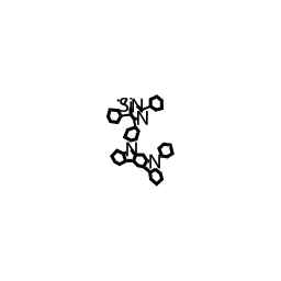 C[Si]1(C)c2ccccc2-c2c(-c3ccc(-n4c5ccccc5c5cc6c7ccccc7n(-c7ccccc7)c6cc54)cc3)nc(-c3ccccc3)nc21